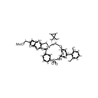 COCc1cc2nc(CN3C(=O)c4cccc(c4)S(=O)(=O)Nc4nc(cc(-c5c(C)cccc5C)n4)OC[C@H]3CC3(C)CC3)cnc2o1